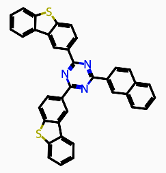 c1ccc2cc(-c3nc(-c4ccc5sc6ccccc6c5c4)nc(-c4ccc5sc6ccccc6c5c4)n3)ccc2c1